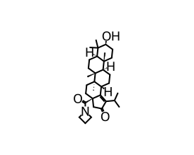 CC(C)C1=C2[C@H]3CC[C@@H]4[C@@]5(C)CC[C@H](O)C(C)(C)[C@@H]5CC[C@@]4(C)[C@]3(C)CC[C@@]2(C(=O)N2CCC2)CC1=O